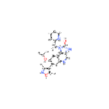 Cc1noc(C)c1-c1cc2ncc3[nH]c(=O)n([C@H](C)c4ccccn4)c3c2cc1OC(C)C